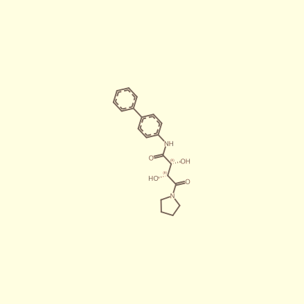 O=C(Nc1ccc(-c2ccccc2)cc1)[C@H](O)[C@@H](O)C(=O)N1CCCC1